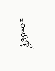 CCOCCCC(CC(=O)O)N1CCc2cc(OCc3ccc(C#N)cc3)ccc2C1=O